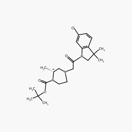 C[C@@H]1CN(CC(=O)N2CC(C)(C)c3ccc(Cl)cc32)CCN1C(=O)OC(C)(C)C